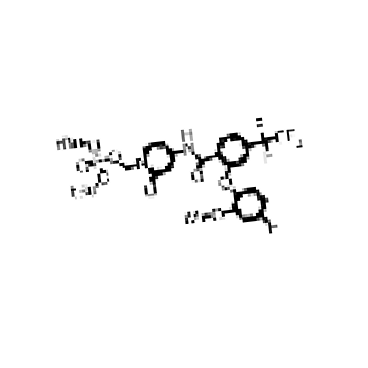 COc1cc(F)ccc1Oc1cc(C(F)(F)C(F)(F)F)ccc1C(=O)Nc1ccn(COP(=O)(OC(C)(C)C)OC(C)(C)C)c(=O)c1